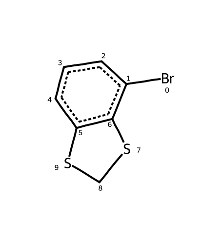 Brc1cccc2c1SCS2